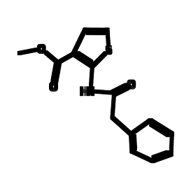 COC(=O)c1ccsc1NC(=O)Cc1ccccc1